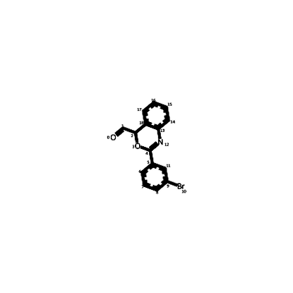 O=CC1OC(c2cccc(Br)c2)=Nc2ccccc21